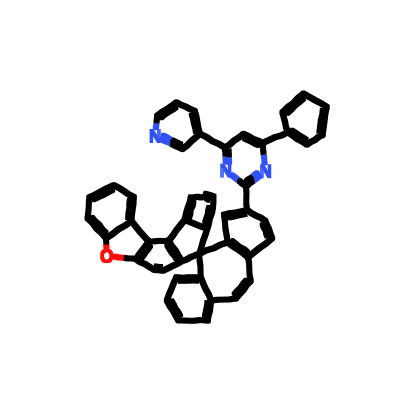 C1=Cc2ccc(-c3nc(-c4ccccc4)cc(-c4cccnc4)n3)cc2C2(c3ccccc31)c1ccccc1-c1c2ccc2oc3ccccc3c12